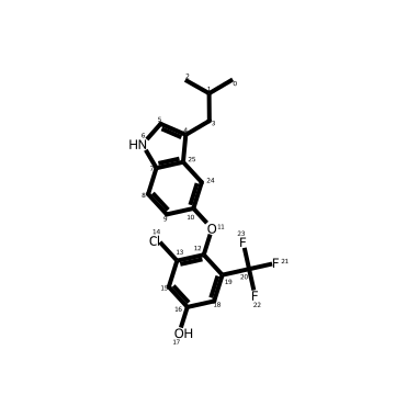 CC(C)Cc1c[nH]c2ccc(Oc3c(Cl)cc(O)cc3C(F)(F)F)cc12